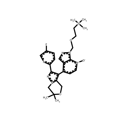 CC1(C)Cn2nc(-c3ccc(F)cn3)c(-c3cc[n+]([O-])c4c3cnn4COCC[Si](C)(C)C)c2CO1